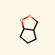 C1CC2COOC2C1